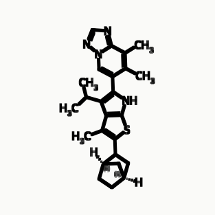 Cc1c(-c2[nH]c3sc(C4C[C@H]5CC[C@@H]4C5)c(C)c3c2C(C)C)cn2ncnc2c1C